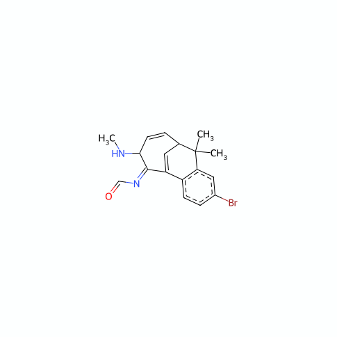 CNC1C=CC2C=C(/C1=N/C=O)c1ccc(Br)cc1C2(C)C